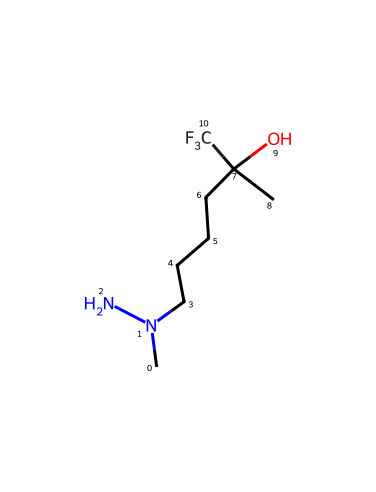 CN(N)CCCCC(C)(O)C(F)(F)F